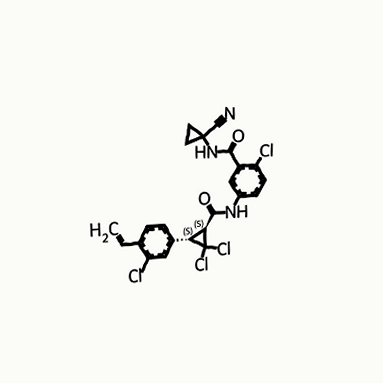 C=Cc1ccc([C@@H]2[C@@H](C(=O)Nc3ccc(Cl)c(C(=O)NC4(C#N)CC4)c3)C2(Cl)Cl)cc1Cl